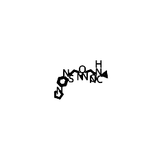 N#CC1(NC(=O)Cc2nnc(Cc3nc4ccc(N5CCCC5)cc4s3)o2)CC1